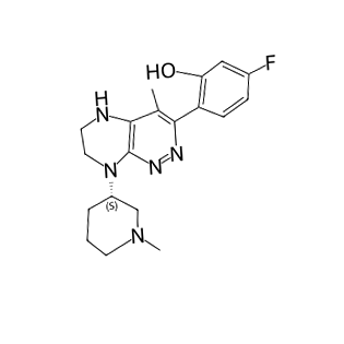 Cc1c(-c2ccc(F)cc2O)nnc2c1NCCN2[C@H]1CCCN(C)C1